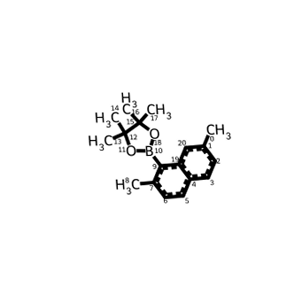 Cc1ccc2ccc(C)c(B3OC(C)(C)C(C)(C)O3)c2c1